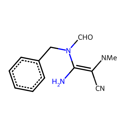 CN/C(C#N)=C(/N)N(C=O)Cc1ccccc1